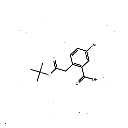 CC(C)(C)OC(=O)Cc1ccc(Br)cc1C(=O)O